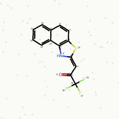 O=C(/C=C1\Nc2c(ccc3ccccc23)S1)C(F)(F)F